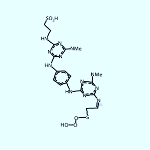 CNc1nc(/N=C\CSOOO)nc(Nc2ccc(Nc3nc(NC)nc(NCCS(=O)(=O)O)n3)cc2)n1